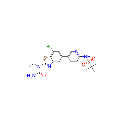 CCN(C(N)=O)c1nc2cc(-c3ccc(NS(=O)(=O)C(C)(C)C)nc3)cc(Br)c2s1